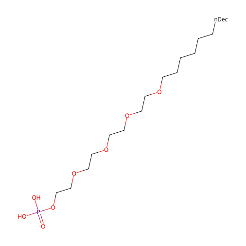 CCCCCCCCCCCCCCCCOCCOCCOCCOCCOP(=O)(O)O